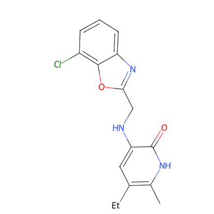 CCc1cc(NCc2nc3cccc(Cl)c3o2)c(=O)[nH]c1C